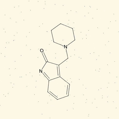 O=C1N=c2ccccc2=C1CN1CCCCC1